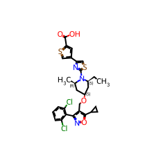 CC[C@H]1C[C@@H](OCc2c(-c3c(Cl)cccc3Cl)noc2C2CC2)C[C@@H](C)N1c1nc(-c2csc(C(=O)O)c2)cs1